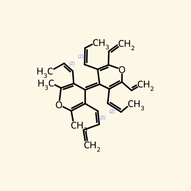 C=C/C=C\C1=C(C)OC(C)=C(/C=C\C)C1=C1C(/C=C\C)=C(C=C)OC(C=C)=C1/C=C\C